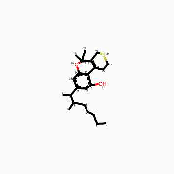 CCCCCC(C)C(C)c1cc(O)c2c(c1)OC(C)(C)C1=C2CCSC1